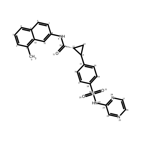 Cc1cccc2ccc(NC(=O)[C@@H]3CC3c3ccc(S(=O)(=O)Nc4cnccn4)cc3)cc12